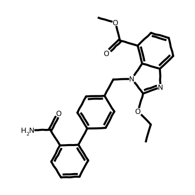 CCOc1nc2cccc(C(=O)OC)c2n1Cc1ccc(-c2ccccc2C(N)=O)cc1